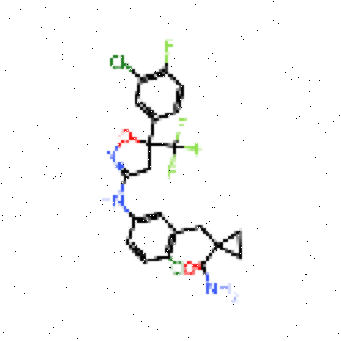 NC(=O)C1(Cc2cc(NC3=NOC(c4ccc(F)c(Cl)c4)(C(F)(F)F)C3)ccc2Cl)CC1